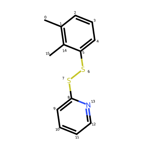 Cc1cccc(SSc2ccccn2)c1C